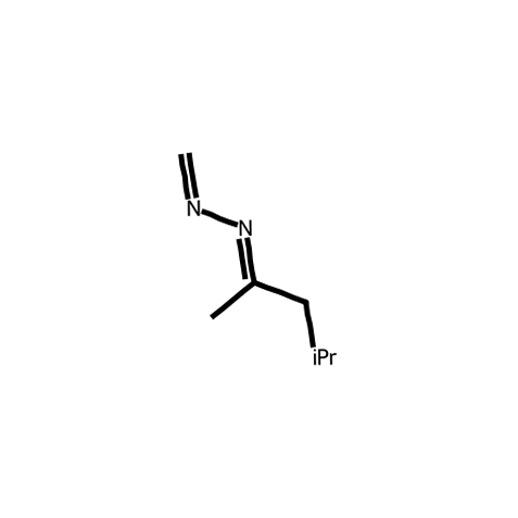 C=N/N=C(\C)CC(C)C